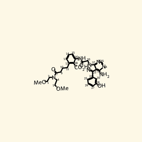 COCCN(CCOC)C(=O)CCCc1cccc(NC(=O)Cn2nc(-c3cccc(O)c3)c3c(N)ncnc32)c1C(=O)O